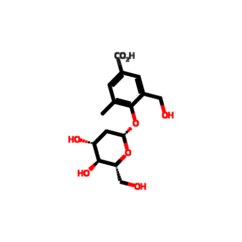 Cc1cc(C(=O)O)cc(CO)c1O[C@H]1C[C@@H](O)[C@H](O)[C@@H](CO)O1